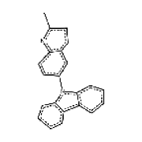 Cc1ccc2cc(-n3c4ccccc4c4ccccc43)ccc2n1